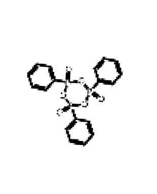 O=P1(c2ccccc2)OP(=O)(c2ccccc2)OP(=O)(c2ccccc2)O1